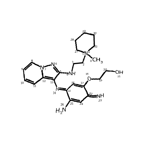 C[N+]1(CCNc2nn3ccccc3c2/N=C2\C=C(OCCO)C(=N)C=C2N)CCCCC1